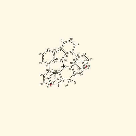 CC1(C)c2ccccc2B(n2c3c(-c4ccccc4)cccc3c3cccc(-c4ccccc4)c32)c2ccccc21